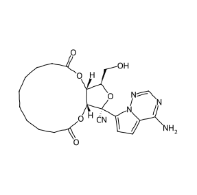 N#C[C@@]1(c2ccc3c(N)ncnn23)O[C@H](CO)[C@H]2OC(=O)CCCCCCCCC(=O)O[C@H]21